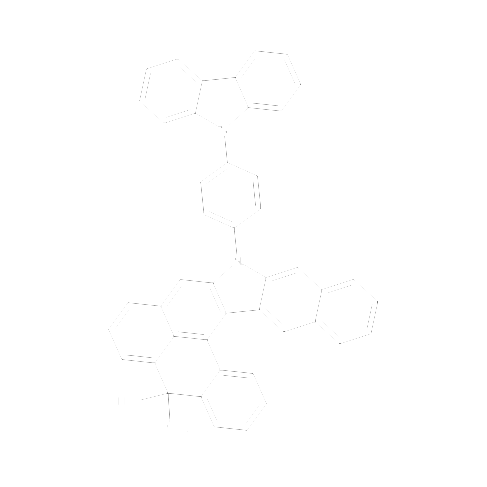 CC1(C)c2ccccc2-c2c3c1cccc3cc1c2c2cc3ccccc3cc2n1-c1ccc(-n2c3ccccc3c3ccccc32)cc1